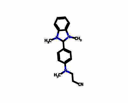 CN(CCC#N)c1ccc(C2N(C)c3ccccc3N2C)cc1